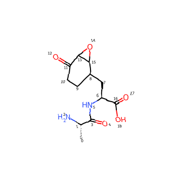 C[C@H](N)C(=O)N[C@@H](CC1CCC(=O)C2OC12)C(=O)O